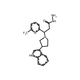 NNC(=O)CC(c1cccc(C(F)(F)F)n1)N1CCC(c2c[nH]c3ccccc23)C1